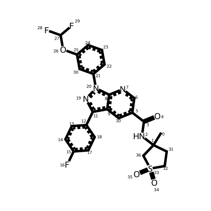 CC1(NC(=O)c2cnc3c(c2)c(-c2ccc(F)cc2)nn3-c2cccc(OC(F)F)c2)CCS(=O)(=O)C1